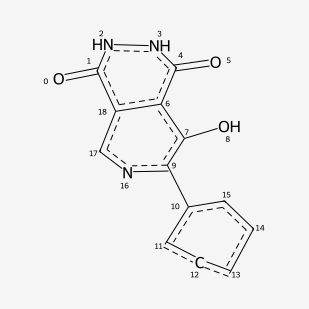 O=c1[nH][nH]c(=O)c2c(O)c(-c3ccccc3)ncc12